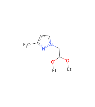 CCOC(Cn1c[c]c(C(F)(F)F)n1)OCC